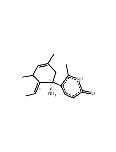 C/C=C1\C(C)C=C(C)C[C@@]1(N)c1ccc(=O)[nH]c1C